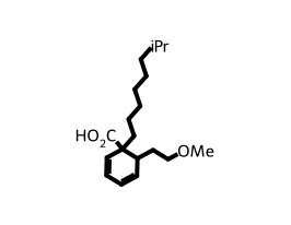 COCCC1C=CC=CC1(CCCCCCC(C)C)C(=O)O